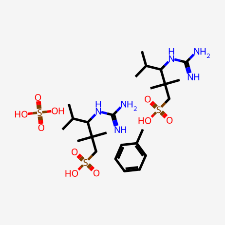 CC(C)C(NC(=N)N)C(C)(C)CS(=O)(=O)O.CC(C)C(NC(=N)N)C(C)(C)CS(=O)(=O)O.Cc1ccccc1.O=S(=O)(O)O